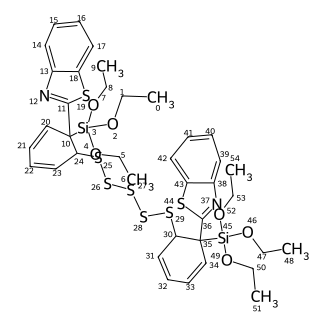 CCO[Si](OCC)(OCC)C1(c2nc3ccccc3s2)C=CC=CC1SSSSSC1C=CC=CC1(c1nc2ccccc2s1)[Si](OCC)(OCC)OCC